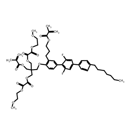 C=C(C)C(=O)OCCCc1cc(-c2c(F)cc(-c3ccc(CCCCCCC)cc3)cc2F)ccc1OCC(COC(=O)C(=C)C)(COC(=O)C(=O)OCCOC)COC(=O)C(=O)OCCOC